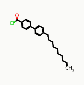 C=CCCCCCCCCc1ccc(-c2ccc(C(=O)Cl)cc2)cc1